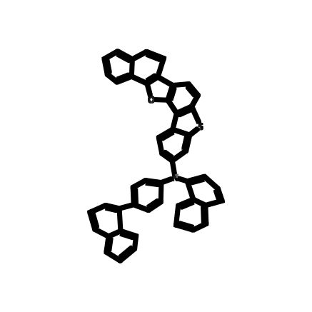 c1ccc2c(-c3ccc(N(c4ccc5c(c4)sc4ccc6c7ccc8ccccc8c7oc6c45)c4cccc5ccccc45)cc3)cccc2c1